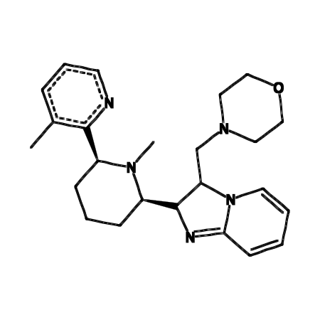 Cc1cccnc1[C@@H]1CCC[C@H](C2N=C3C=CC=CN3C2CN2CCOCC2)N1C